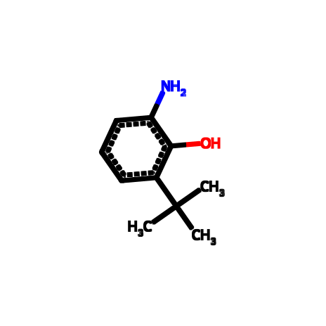 CC(C)(C)c1cccc(N)c1O